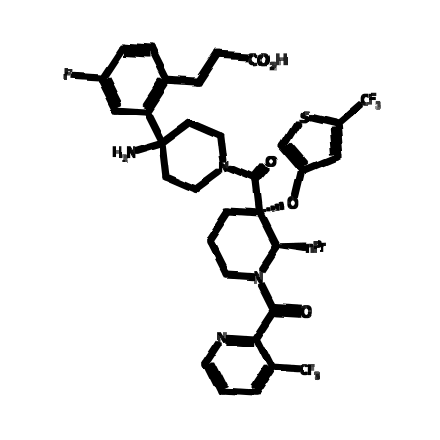 CCC[C@H]1N(C(=O)c2ncccc2C(F)(F)F)CCC[C@@]1(Oc1csc(C(F)(F)F)c1)C(=O)N1CCC(N)(c2cc(F)ccc2CCC(=O)O)CC1